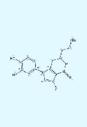 CCCCOCC1CC(=O)c2c(C)nn(-c3ccc(C#N)c(Br)c3)c2C1